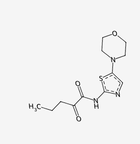 CCCC(=O)C(=O)Nc1ncc(N2CCOCC2)s1